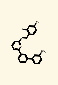 N#Cc1ccc(COc2cccc(-c3cccc(-c4cccc([N+](=O)[O-])c4)c3)n2)c(F)c1